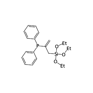 C=C(C[Si](OCC)(OCC)OCC)P(c1ccccc1)c1ccccc1